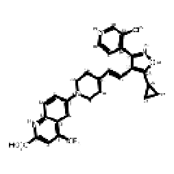 O=C(O)c1cc(C(F)(F)F)c2cc(N3CCC(C=Cc4c(-c5ccncc5Cl)noc4C4CC4)CC3)ccc2n1